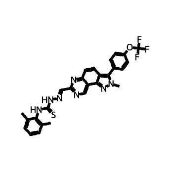 Cc1cccc(C)c1NC(=S)N/N=C/c1ncc2c(ccc3c(-c4ccc(OC(F)(F)F)cc4)n(C)nc32)n1